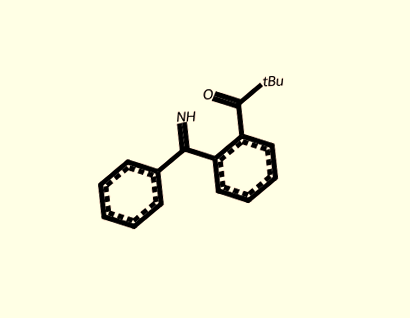 CC(C)(C)C(=O)c1ccccc1C(=N)c1ccccc1